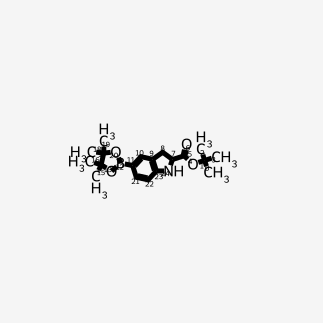 CC(C)(C)OC(=O)C1Cc2cc(B3OC(C)(C)C(C)(C)O3)ccc2N1